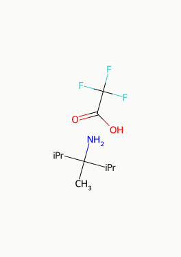 CC(C)C(C)(N)C(C)C.O=C(O)C(F)(F)F